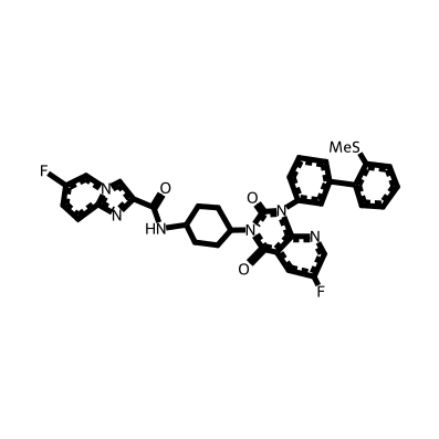 CSc1ccccc1-c1cccc(-n2c(=O)n(C3CCC(NC(=O)c4cn5cc(F)ccc5n4)CC3)c(=O)c3cc(F)cnc32)c1